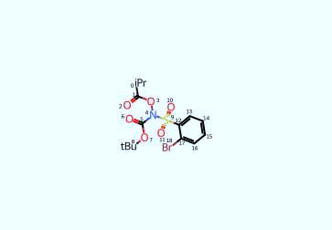 CC(C)C(=O)ON(C(=O)OC(C)(C)C)S(=O)(=O)c1ccccc1Br